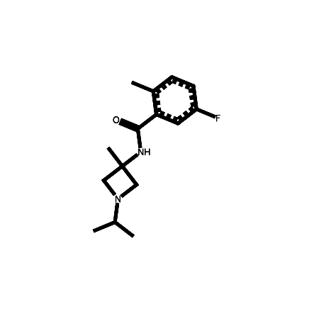 Cc1ccc(F)cc1C(=O)NC1(C)CN(C(C)C)C1